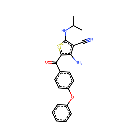 CC(C)Nc1sc(C(=O)c2ccc(Oc3ccccc3)cc2)c(N)c1C#N